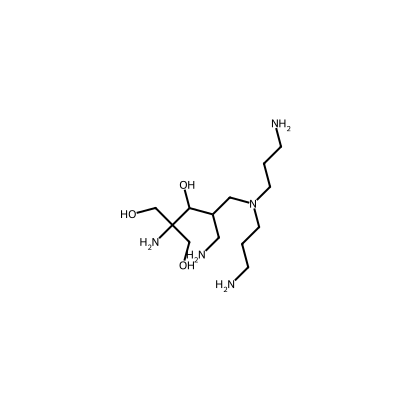 NCCCN(CCCN)CC(CN)C(O)C(N)(CO)CO